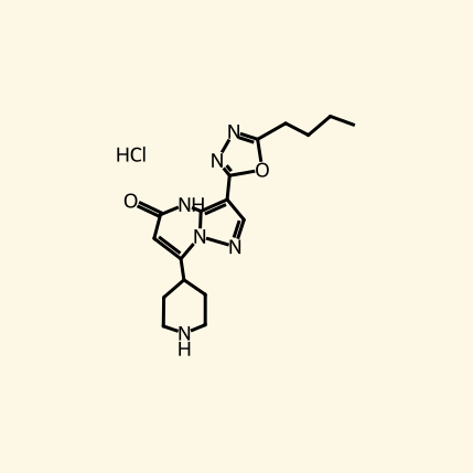 CCCCc1nnc(-c2cnn3c(C4CCNCC4)cc(=O)[nH]c23)o1.Cl